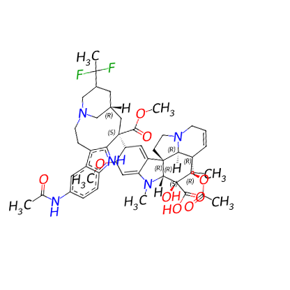 CC[C@]12C=CCN3CC[C@@]4(C5=CC([C@@]6(C(=O)OC)C[C@H]7CC(C(C)(F)F)CN(CCc8c6[nH]c6ccc(NC(C)=O)cc86)C7)C(OC)C=C5N(C)[C@H]4[C@@](O)(C(=O)O)[C@@H]1OC(C)=O)[C@@H]32